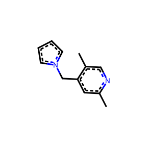 Cc1cc(Cn2cccc2)c(C)cn1